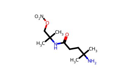 CC(C)(N)CCC(=O)NC(C)(C)CO[N+](=O)[O-]